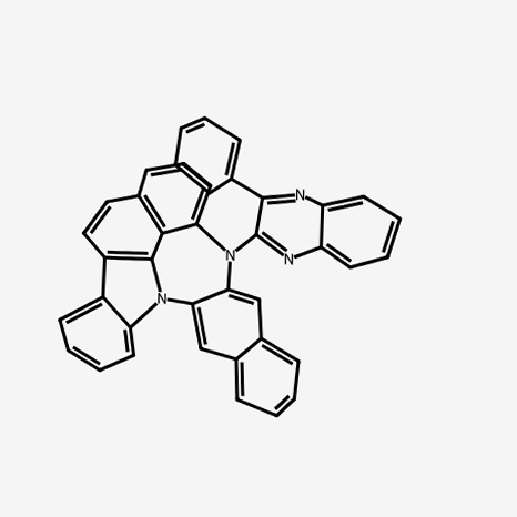 c1ccc(-c2nc3ccccc3nc2-n2c3cccc4ccc5c6ccccc6n(c6cc7ccccc7cc62)c5c43)cc1